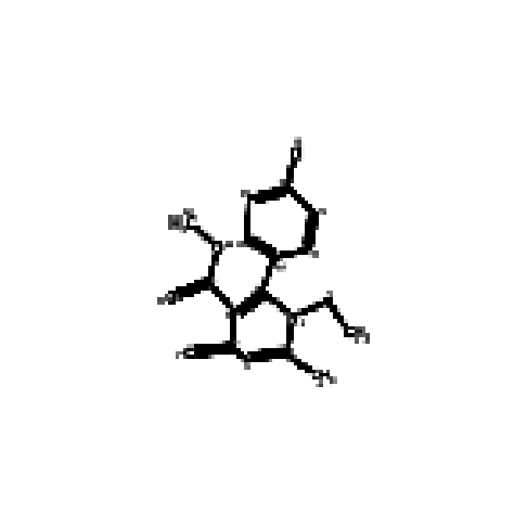 CCn1c(C)cc(=O)c(C(=O)OC)c1-c1ccc(Cl)cc1